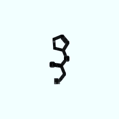 O=C(CBr)OC1C=CCC1